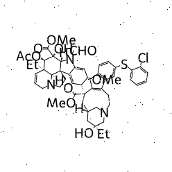 CC[C@]1(O)C[C@H]2CN(CCC3=C(Cc4ccc(Sc5ccccc5Cl)cc43)[C@@](C(=O)OC)(C3C=C4C(=CC3OC)N(C=O)[C@H]3[C@@](O)(C(=O)OC)[C@H](OC(C)=O)[C@]5(CC)C=CCN6CC[C@]43[C@@H]65)C2)C1